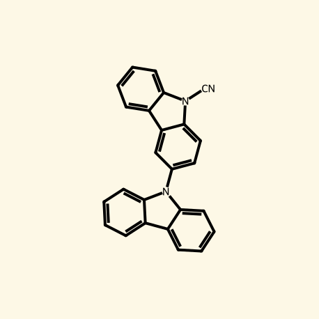 N#Cn1c2ccccc2c2cc(-n3c4ccccc4c4ccccc43)ccc21